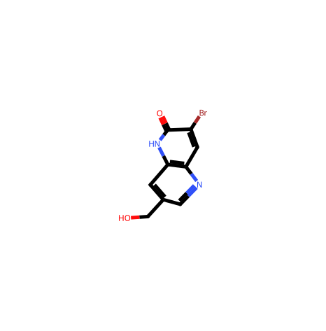 O=c1[nH]c2cc(CO)cnc2cc1Br